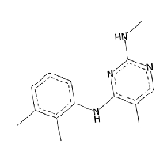 CNc1ncc(C)c(Nc2cccc(C)c2C)n1